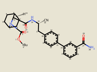 CC(C)(C)OC(=O)N1C2CCC(CC2)[C@H]1C(=O)N[C@H](C#N)Cc1ccc(-c2cccc(C(N)=O)c2)cc1